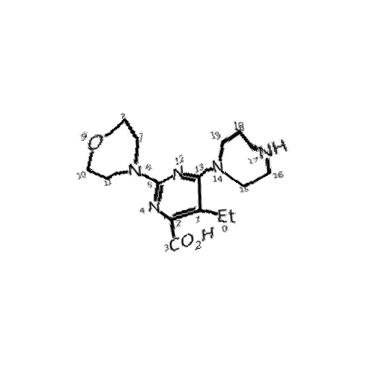 CCc1c(C(=O)O)nc(N2CCOCC2)nc1N1CCNCC1